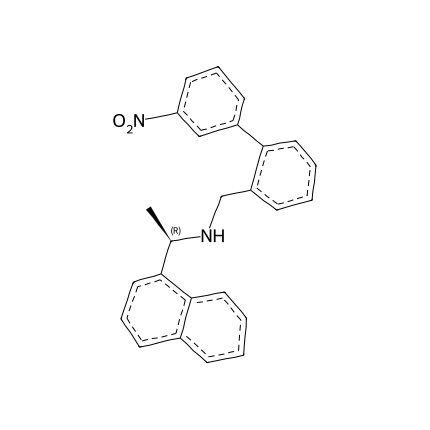 C[C@@H](NCc1ccccc1-c1cccc([N+](=O)[O-])c1)c1cccc2ccccc12